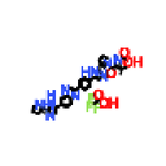 CC(C)[C@@H](C(=O)N1CCC[C@H]1c1ncc(-c2ccc(-c3cnc4cc(-c5cnc([C@@H]6CCCN6)[nH]5)ccc4n3)cc2)[nH]1)N(C)C(=O)O.O=C(O)C(F)(F)F